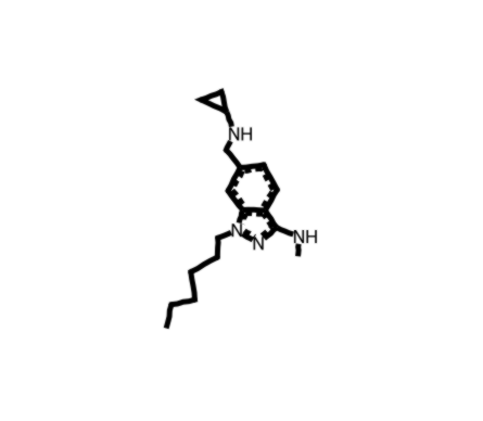 CCCCCCn1nc(NC)c2ccc(CNC3CC3)cc21